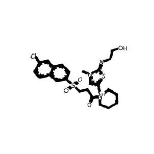 Cn1cc([N+]2(C(=O)CCS(=O)(=O)c3ccc4cc(Cl)ccc4c3)CCCCC2)s/c1=N\CCO